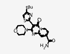 CC(C)(C)c1csc(-c2c(N3CCOCC3)nc3cc(C(N)=O)ccn3c2=O)n1